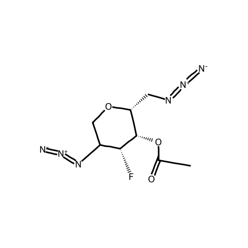 CC(=O)O[C@@H]1[C@H](F)C(N=[N+]=[N-])CO[C@@H]1CN=[N+]=[N-]